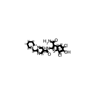 NC(=O)c1c(NC(=O)c2cnc(CN3CCCCC3)nc2)sc2c(Cl)c(O)c(Cl)cc12